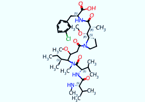 CC[C@H](C)C(C(CC(=O)N1CCC[C@H]1[C@H](OC)[C@@H](C)C(=O)N[C@@H](Cc1cccc(Cl)c1)C(=O)O)OC)N(C)C(=O)[C@@H](NC(=O)[C@@H](NC)C(C)C)C(C)C